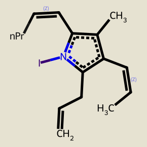 C=CCc1c(/C=C\C)c(C)c(/C=C\CCC)n1I